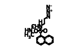 CNC.[N-]=[N+]=NCCNS(=O)(=O)c1cccc2ccccc12